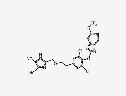 N#Cc1nc(COCCc2cc(Cl)c(Oc3nc4ccc(OC(F)(F)F)cc4s3)c(Cl)c2)[nH]c1C#N